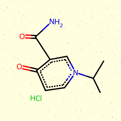 CC(C)n1ccc(=O)c(C(N)=O)c1.Cl